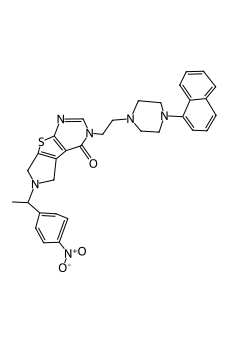 CC(c1ccc([N+](=O)[O-])cc1)N1Cc2sc3ncn(CCN4CCN(c5cccc6ccccc56)CC4)c(=O)c3c2C1